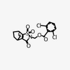 O=C(OCN1C(=O)C2=C(C3CCC2CC3)S1(=O)=O)c1c(Cl)cccc1Cl